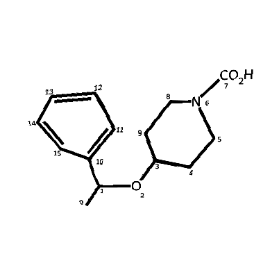 CC(OC1CCN(C(=O)O)CC1)c1ccccc1